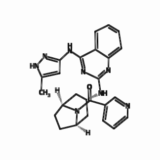 Cc1cc(Nc2nc(N[C@@H]3C[C@H]4CC[C@@H](C3)N4C(=O)c3cccnc3)nc3ccccc23)n[nH]1